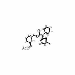 CC(=O)OCC1CCCC(COC(=O)N(c2ccccc2)c2cccc(C)c2)C1